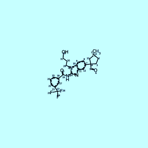 CN1CCC(C=O)(c2ccc3c(c2)nc(NC(=O)c2cccc(C(F)(F)F)c2)n3CCCO)C1